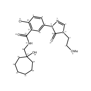 COCCn1cnn(-c2ccc(Cl)c(C(=O)NCC3(O)CCCCCC3)c2)c1=O